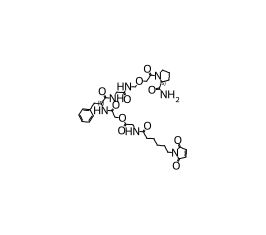 NC(=O)[C@@H]1CCCN1C(=O)COCNC(=O)CNC(=O)[C@H](Cc1ccccc1)NC(=O)COC(=O)CNC(=O)CCCCCN1C(=O)C=CC1=O